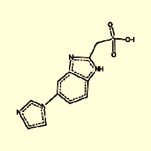 O=S(=O)(O)Cc1nc2cc(-n3ccnc3)ccc2[nH]1